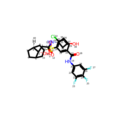 O=C(C[C@@]1(O)C2CC[C@H]1C[C@H](S(=O)(=O)c1cc(C(=O)Nc3cc(F)c(F)c(F)c3)ccc1Cl)C2)N[C@H]1C[C@H](O)C1